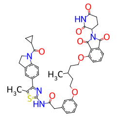 Cc1sc(NC(=O)Cc2cccc(OCCC(C)CCOc3cccc4c3C(=O)N(C3CCC(=O)NC3=O)C4=O)c2)nc1-c1ccc2c(c1)CCN2C(=O)C1CC1